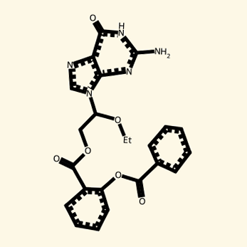 CCOC(COC(=O)c1ccccc1OC(=O)c1ccccc1)n1cnc2c(=O)[nH]c(N)nc21